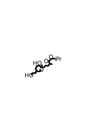 CC(CCCC1(C)OC/C(=C/CO)CC[C@H]1O)C(=O)C1OC1C(C)C